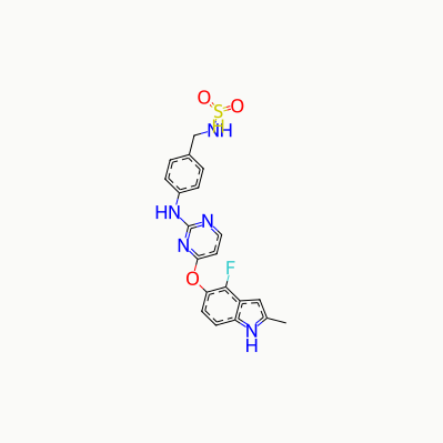 Cc1cc2c(F)c(Oc3ccnc(Nc4ccc(CN[SH](=O)=O)cc4)n3)ccc2[nH]1